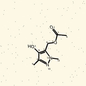 CC(=O)OCc1c(O)c(C)nn1C